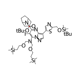 CC(C)(C)OC(=O)N1C2CCC1CC(c1nc3c(-c4cnc(CO[Si](C)(C)C(C)(C)C)s4)cnn3c(N(COCC[Si](C)(C)C)COCC[Si](C)(C)C)c1I)C2